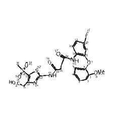 COc1ccccc1Oc1cc(F)ccc1NC(=O)CC(=O)Nc1nc(CC(=O)O)c(S(C)(=O)=O)s1